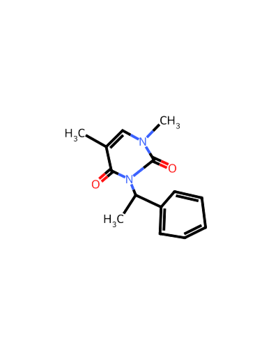 Cc1cn(C)c(=O)n(C(C)c2ccccc2)c1=O